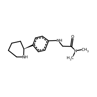 CN(C)C(=O)CNc1ccc([C@@H]2CCCCN2)cc1